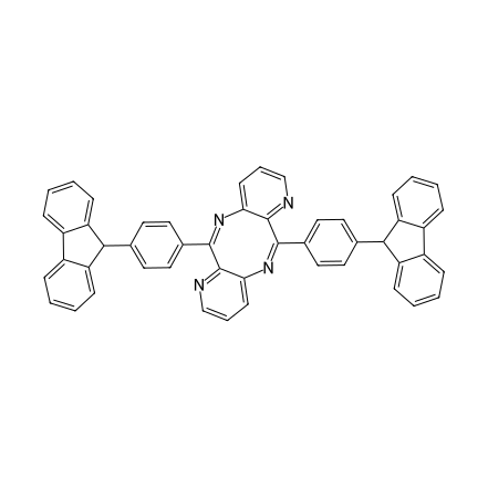 c1cnc2c(c1)/N=C(/c1ccc(C3c4ccccc4-c4ccccc43)cc1)c1ncccc1/N=C\2c1ccc(C2c3ccccc3-c3ccccc32)cc1